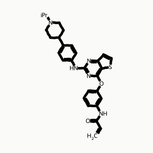 C=CC(=O)Nc1cccc(Oc2nc(Nc3ccc(C4CCN(C(C)C)CC4)cc3)nc3ccsc23)c1